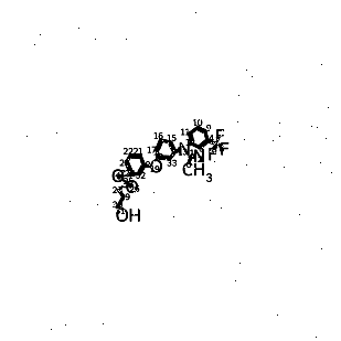 Cc1nc2c(C(F)(F)F)cccc2n1-c1cccc(Oc2cccc(S(=O)(=O)CCCO)c2)c1